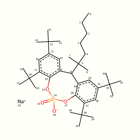 CCCCCC(C)(C)C1c2cc(C(C)(C)C)cc(C(C)(C)C)c2OP(=O)([O-])Oc2c1cc(C(C)(C)C)cc2C(C)(C)C.[Na+]